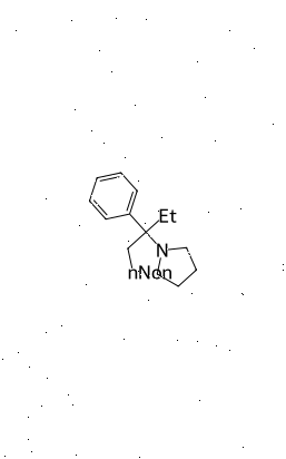 CCCCCCCCCCC(CC)(c1ccccc1)N1CCCC1